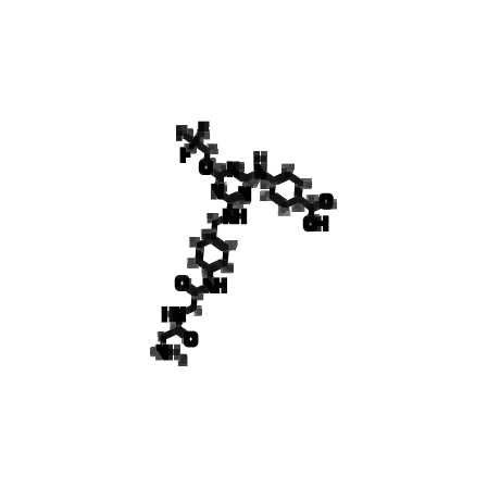 NCC(=O)NCC(=O)Nc1ccc(CNc2nc(Nc3ccc(C(=O)O)cc3)nc(OCC(F)(F)F)n2)cc1